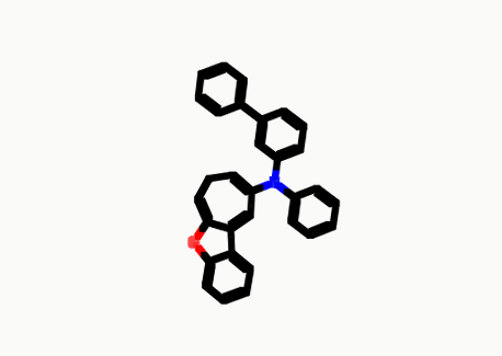 C1=C(N(c2ccccc2)c2cccc(-c3ccccc3)c2)C=c2c(oc3ccccc23)=CC1